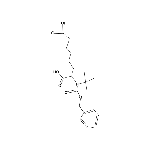 CC(C)(C)N(C(=O)OCc1ccccc1)C(CCCCCC(=O)O)C(=O)O